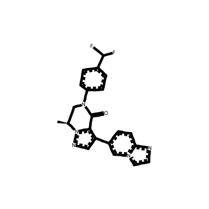 C[C@H]1CN(c2ccc(C(F)F)cc2)C(=O)c2c(-c3ccc4nccn4c3)cnn21